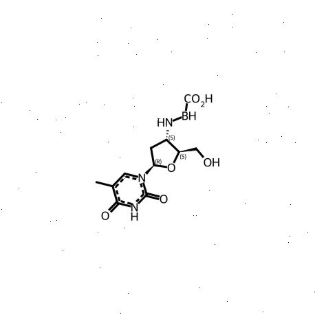 Cc1cn([C@H]2C[C@H](NBC(=O)O)[C@@H](CO)O2)c(=O)[nH]c1=O